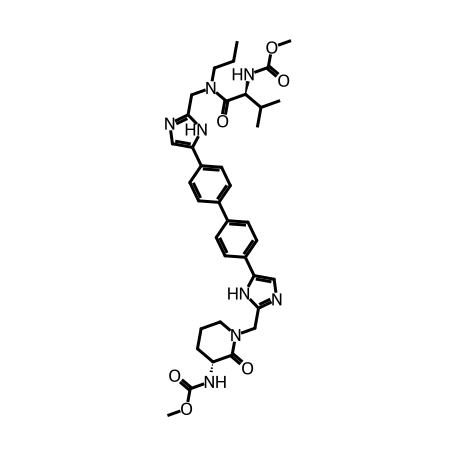 CCCN(Cc1ncc(-c2ccc(-c3ccc(-c4cnc(CN5CCC[C@@H](NC(=O)OC)C5=O)[nH]4)cc3)cc2)[nH]1)C(=O)[C@@H](NC(=O)OC)C(C)C